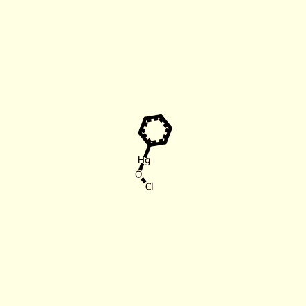 Cl[O][Hg][c]1ccccc1